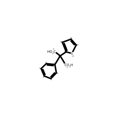 O=C(O)C(C(=O)O)(c1ccccc1)c1cccs1